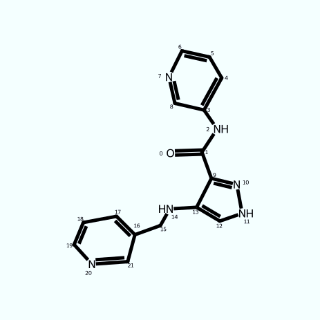 O=C(Nc1cccnc1)c1n[nH]cc1NCc1cccnc1